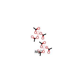 CC(=O)O[BH-](OC(C)=O)OC(C)=O.CC(=O)O[BH-](OC(C)=O)OC(C)=O.[Mg+2]